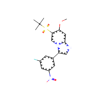 COc1cc2ncc(-c3cc(F)cc([N+](=O)[O-])c3)n2cc1S(=O)(=O)C(C)(C)C